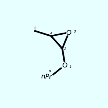 CCCO[C]1OC1C